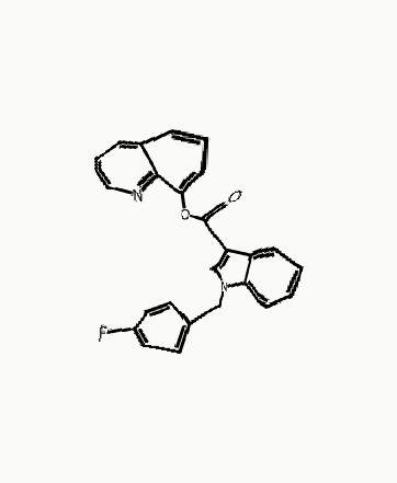 O=C(Oc1cccc2cccnc12)c1cn(Cc2ccc(F)cc2)c2ccccc12